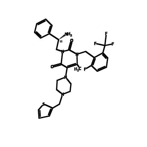 Cc1c(N2CCN(Cc3cccs3)CC2)c(=O)n(C[C@@H](N)c2ccccc2)c(=O)n1Cc1c(F)cccc1C(F)(F)F